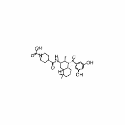 C[C@@H]1[C@H](NC(=O)C2CCN(C(=O)O)CC2)C[C@H]2C(C)(C)CCC[C@]2(C)[C@H]1C(=O)c1cc(O)cc(O)c1